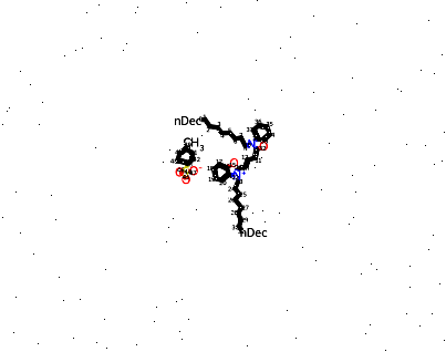 CCCCCCCCCCCCCCCCCCN1C(=CC=Cc2oc3ccccc3[n+]2CCCCCCCCCCCCCCCCCC)Oc2ccccc21.Cc1ccc(S(=O)(=O)[O-])cc1